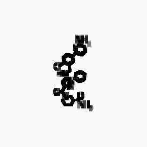 NC(=O)[C@H]1CCCN(C(=O)c2cc(NCc3cc(-c4cccc(N)n4)ccc3Cl)n(-c3ccccc3)n2)C1